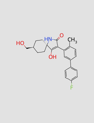 Cc1ccc(-c2ccc(F)cc2)cc1C1=C(O)[C@]2(CC[C@H](CO)CC2)NC1=O